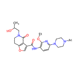 CCOc1nc(N2CCN(C(C)=O)CC2)ccc1NC(=O)c1coc2c1C(=O)N(CC(C)O)CC2